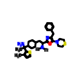 CCN(CC)C(CC1CCC(C(C)(N)c2sccc2C)CC1)c1nc(Cc2ccccc2)c(N2CCSCC2)o1